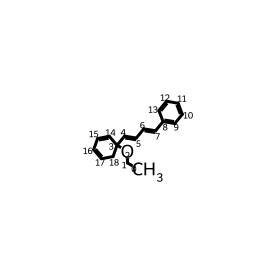 CCOC1(C=CC=Cc2ccccc2)C=CC=CC1